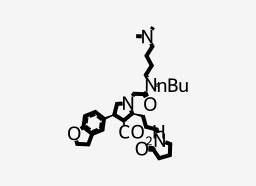 CCCCN(CCCCN(C)C)C(=O)CN1C[C@H](c2ccc3c(c2)CCO3)[C@@H](C(=O)O)[C@@H]1CCCN1CCCC1=O